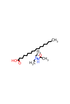 CCCCCCCCCCCCCCCCCC(=O)O.CCN(CC)NC(C)=O